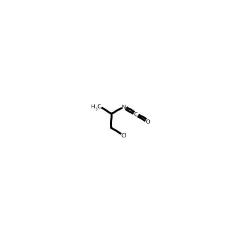 CC(CCl)N=C=O